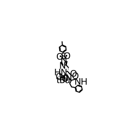 Cc1ccc(S(=O)(=O)n2cnc(C[C@@H](NC(=O)OC(C)(C)C)C(=O)N[C@@H]3CCc4ccccc4NC3=O)c2)cc1